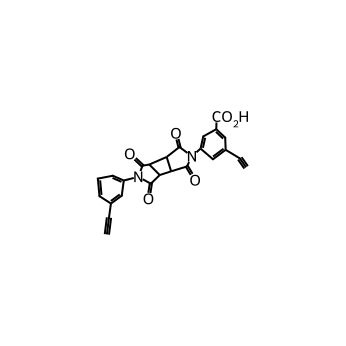 C#Cc1cccc(N2C(=O)C3C(C2=O)C2C(=O)N(c4cc(C#C)cc(C(=O)O)c4)C(=O)C32)c1